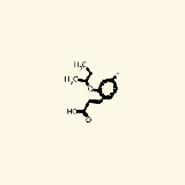 CCC(C)Oc1cc(F)ccc1C=CC(=O)O